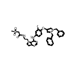 CS(=O)(=O)CC(=O)NCCn1ccc2ncnc(Nc3ccc(OC4=CN(Cc5ccccc5)S(Cc5ccccc5)=C4)c(F)c3)c21